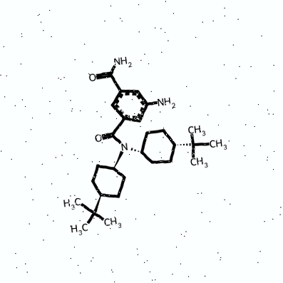 CC(C)(C)[C@H]1CC[C@@H](N(C(=O)c2cc(N)cc(C(N)=O)c2)[C@H]2CC[C@@H](C(C)(C)C)CC2)CC1